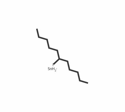 CCCCCC(I)CCCCC.[SnH2]